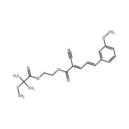 COc1cccc(/C=C/C=C(\C#N)C(=O)OCCOC(=O)C(C)(C)SC)c1